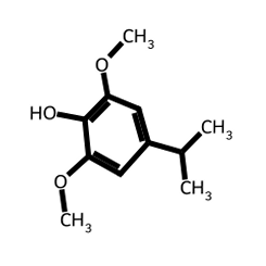 COc1cc(C(C)C)cc(OC)c1O